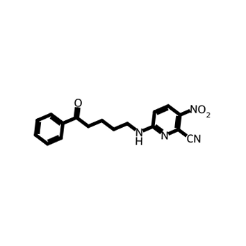 N#Cc1nc(NCCCCC(=O)c2ccccc2)ccc1[N+](=O)[O-]